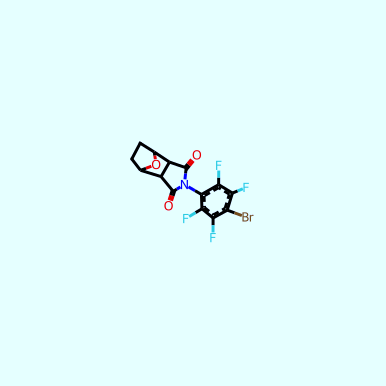 O=C1C2C3CCC(O3)C2C(=O)N1c1c(F)c(F)c(Br)c(F)c1F